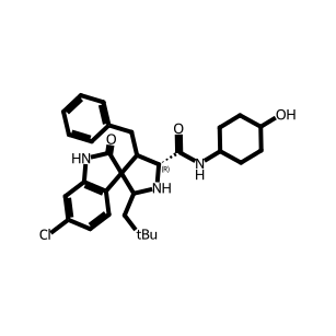 CC(C)(C)CC1N[C@@H](C(=O)NC2CCC(O)CC2)C(Cc2ccccc2)C12C(=O)Nc1cc(Cl)ccc12